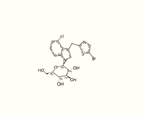 OC[C@H]1O[C@@H](n2cc(Cc3ccc(Br)s3)c3c(Cl)cccc32)[C@H](O)[C@@H](O)[C@@H]1O